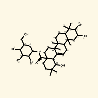 CC1(C)CCC2(C(=O)OC3OC(CO)C(O)C(O)C3O)CCC3(C)C(=CCC4C5(C)CC(O)C(O)C(C)(C)C5CCC43C)C2C1O